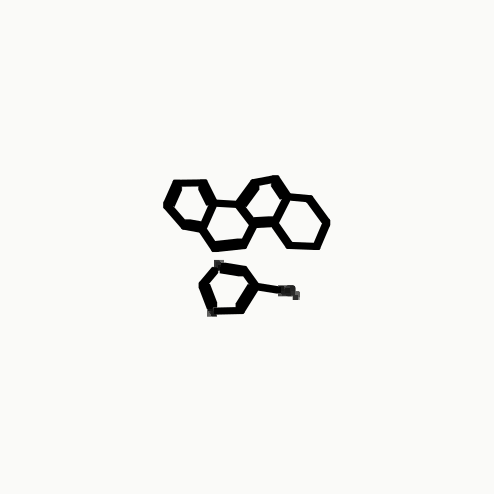 O=[N+]([O-])c1cncnc1.c1ccc2c(c1)ccc1c3c(ccc12)CCCC3